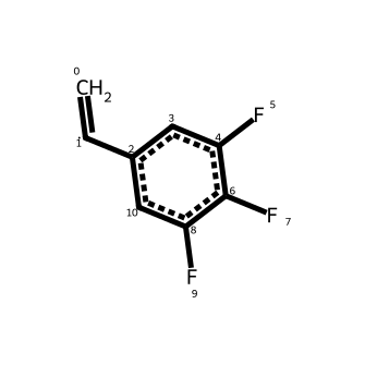 C=[C]c1cc(F)c(F)c(F)c1